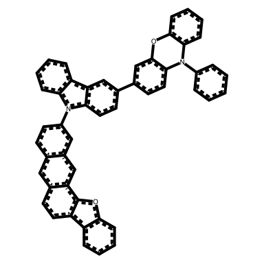 c1ccc(N2c3ccccc3Oc3cc(-c4ccc5c(c4)c4ccccc4n5-c4ccc5cc6ccc7c8ccccc8oc7c6cc5c4)ccc32)cc1